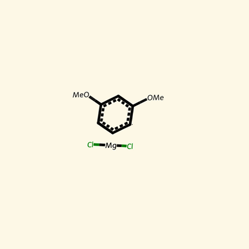 COc1[c]ccc(OC)c1.[Cl][Mg][Cl]